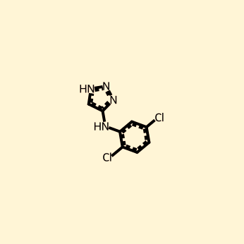 Clc1ccc(Cl)c(Nc2c[nH]nn2)c1